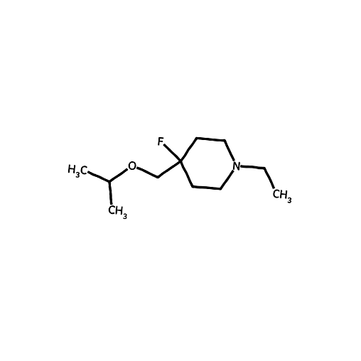 CCN1CCC(F)(COC(C)C)CC1